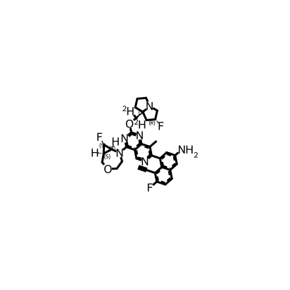 [2H]C([2H])(Oc1nc(N2CCOC[C@H]3[C@H](F)[C@H]32)c2cnc(-c3cc(N)cc4ccc(F)c(C#C)c34)c(C)c2n1)[C@@]12CCCN1C[C@H](F)C2